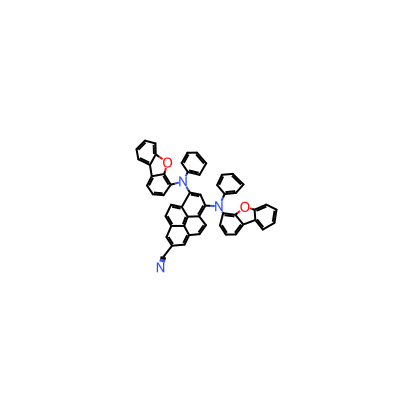 N#Cc1cc2ccc3c(N(c4ccccc4)c4cccc5c4oc4ccccc45)cc(N(c4ccccc4)c4cccc5c4oc4ccccc45)c4ccc(c1)c2c34